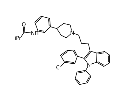 CC(C)C(=O)Nc1cccc(C2CCN(CCCc3c(-c4cccc(Cl)c4)n(-c4ccccc4)c4ccccc34)CC2)c1